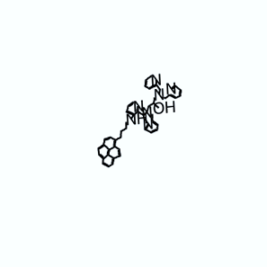 OC(CN(Cc1ccccn1)Cc1ccccn1)CN(Cc1ccccn1)Cc1ncccc1NCCCCc1ccc2ccc3cccc4ccc1c2c34